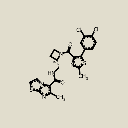 Cc1nc(C(=O)N2CC[C@H]2CNC(=O)c2c(C)nc3sccn23)c(-c2ccc(Cl)c(Cl)c2)s1